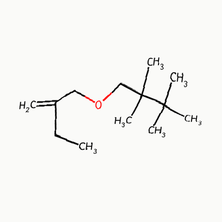 C=C(CC)COCC(C)(C)C(C)(C)C